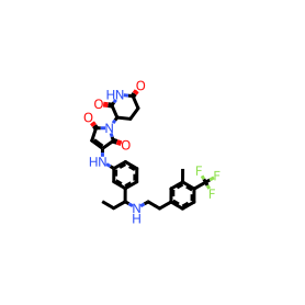 CCC(NCCc1ccc(C(F)(F)F)c(C)c1)c1cccc(NC2=CC(=O)N(C3CCC(=O)NC3=O)C2=O)c1